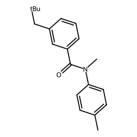 Cc1ccc(N(C)C(=O)c2cccc(CC(C)(C)C)c2)cc1